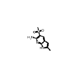 Cc1cc2cc(S(C)(=O)=O)c(N)nc2[nH]1